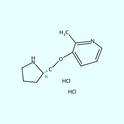 Cc1ncccc1OC[C@@H]1CCCN1.Cl.Cl